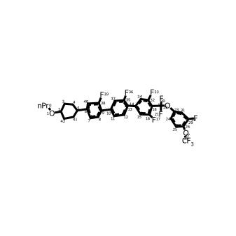 CCCOC1CCC(c2ccc(-c3ccc(-c4cc(F)c(C(F)(F)Oc5ccc(OC(F)(F)F)c(F)c5)c(F)c4)c(F)c3)c(F)c2)CC1